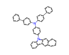 c1ccc(-c2ccc(N(c3ccc(-c4ccccc4)cc3)c3ccc(-n4c5ccccc5c5cc6ccccc6cc54)cc3)cc2)cc1